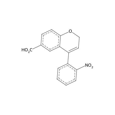 O=C(O)c1ccc2c(c1)C(c1ccccc1[N+](=O)[O-])=CCO2